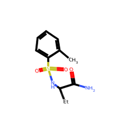 CCC(NS(=O)(=O)c1ccccc1C)C(N)=O